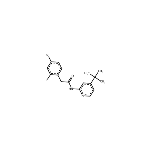 CC(C)(C)c1ccnc(NC(=O)Cc2ccc(Br)cc2F)c1